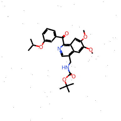 COc1cc2c(CNC(=O)OC(C)(C)C)cnc(C(=O)c3cccc(OC(C)C)c3)c2cc1OC